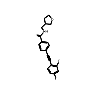 O=C(NCC1CCOC1)c1ccc(C#Cc2ccc(F)cc2F)cc1